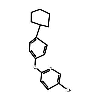 N#Cc1ccc(Oc2ccc(C3CCCCC3)cc2)nc1